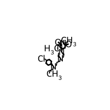 CCCN(CCCN1CCN(c2cc(=O)n(C)c(=O)n2C)CC1)c1ccc(Cl)cc1